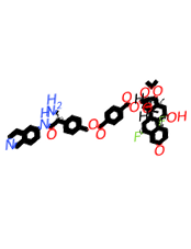 CC1(C)O[C@@H]2C[C@@]3(C)[C@@H]4C[C@H](F)C5=CC(=O)C=C[C@]5(C)[C@@]4(F)[C@@H](O)C[C@]3(C)[C@]2(C(=O)COC(=O)c2ccc(C(=O)OCc3ccc([C@@H](CN)C(=O)Nc4ccc5cnccc5c4)cc3)cc2)O1